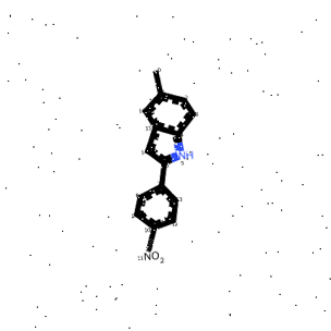 Cc1ccc2[nH]c(-c3ccc([N+](=O)[O-])cc3)cc2c1